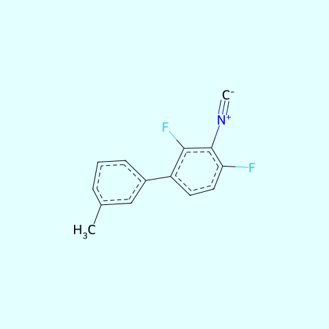 [C-]#[N+]c1c(F)ccc(-c2cccc(C)c2)c1F